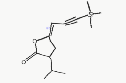 CC(C)C1C/C(=C\C#C[Si](C)(C)C)OC1=O